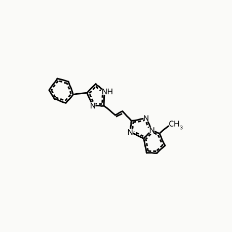 Cc1cccc2nc(/C=C/c3nc(-c4ccccc4)c[nH]3)nn12